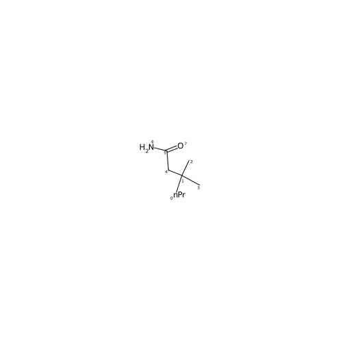 CCCC(C)(C)CC(N)=O